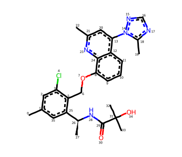 Cc1cc(Cl)c(COc2cccc3c(-n4ncnc4C)cc(C)nc23)c([C@H](C)NC(=O)C(C)(C)O)c1